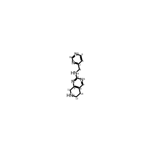 c1cc(CNc2ncc3c(n2)CNCC3)ncn1